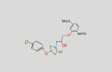 COc1ccc(NC(C)=O)c(OCC(O)CN2CCC(Oc3ccc(Cl)cc3)C2)c1.Cl